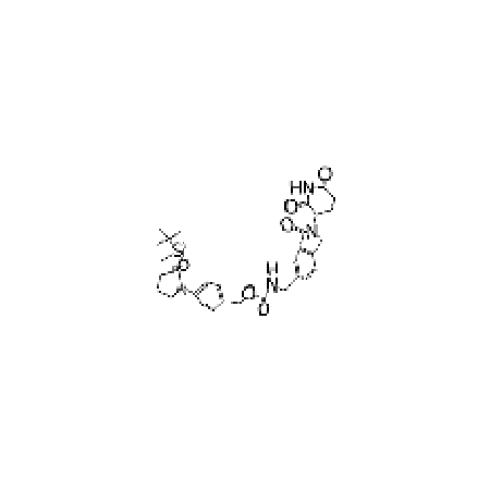 CC(C)(C)[Si](C)(C)O[C@H]1CCC[C@@H]1c1ccc(COC(=O)NCc2ccc3c(c2)C(=O)N(C2CCC(=O)NC2=O)C3)cc1